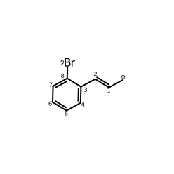 CC=Cc1ccccc1Br